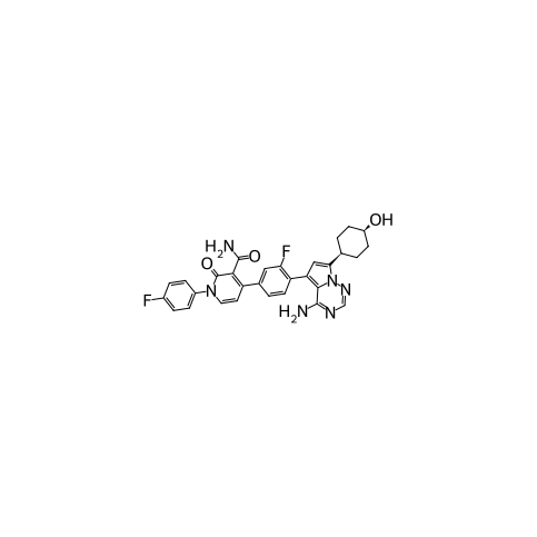 NC(=O)c1c(-c2ccc(-c3cc([C@H]4CC[C@@H](O)CC4)n4ncnc(N)c34)c(F)c2)ccn(-c2ccc(F)cc2)c1=O